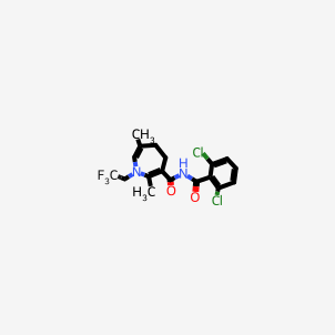 CC1=CN(CC(F)(F)F)C(C)=C(C(=O)NC(=O)c2c(Cl)cccc2Cl)CC1